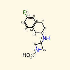 O=C(O)N1CC(NC2CCc3cc(F)ccc3C2)C1